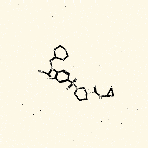 CC(C)(C)c1nc2cc(S(=O)(=O)N3CCC[C@@H](C(=O)NC4CC4)C3)ccc2n1CC1CCOCC1